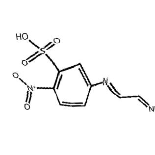 N=CC=Nc1ccc([N+](=O)[O-])c(S(=O)(=O)O)c1